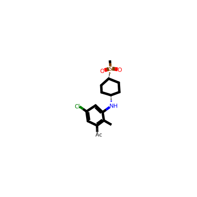 CC(=O)c1cc(Cl)cc(N[C@H]2CC[C@@H](S(C)(=O)=O)CC2)c1C